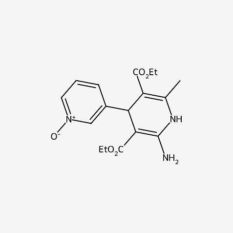 CCOC(=O)C1=C(C)NC(N)=C(C(=O)OCC)C1c1ccc[n+]([O-])c1